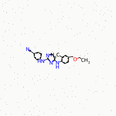 CCOCc1ccc(Nc2ccnc(Nc3ccc(C#N)cc3)n2)c(C)c1